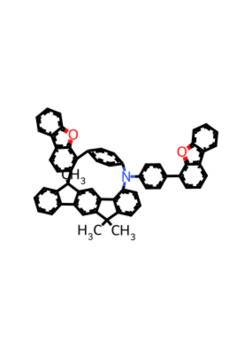 CC1(C)c2cc3c4cc2-c2c(cccc21)N(c1ccc(-c2cccc5c2oc2ccccc25)cc1)c1ccc(cc1)-c1c(ccc2c1oc1ccccc12)C4(C)c1ccccc1-3